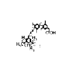 CC(C)(C)c1cc(COCCOc2c(I)cc(Oc3c(I)cc(CC(=O)O)cc3I)cc2I)cc(C(C)(C)C)c1